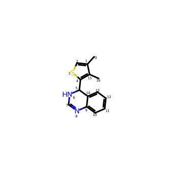 Cc1csc(C2NC=Nc3ccccc32)c1C